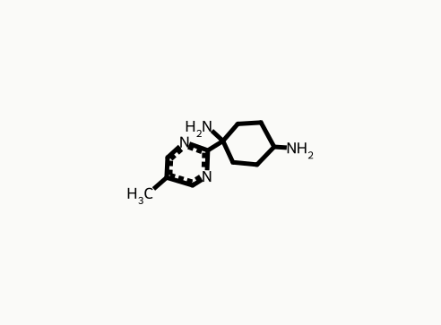 Cc1cnc(C2(N)CCC(N)CC2)nc1